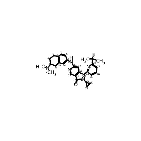 CN(C)C1CCc2ccc(Nc3cc4c(cn3)c(=O)n(C3CC3)n4-c3cccc(C(C)(C)F)n3)cc2C1